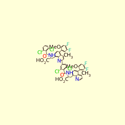 COc1cc(F)c(F)cc1-c1ccc(C[C@H](NC(=O)c2c(Cl)cc(-c3cc(C)c4c(-c5cc(F)c(F)cc5OC)ccc(C[C@H](NC(=O)c5c(Cl)cccc5Cl)C(=O)O)c4n3)cc2Cl)C(=O)O)c2nccc(C)c12